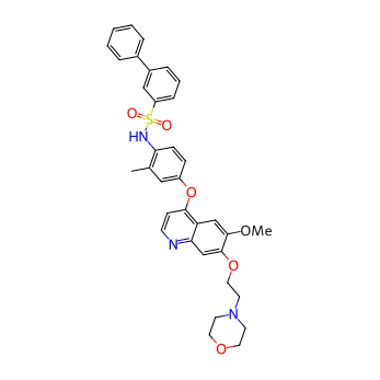 COc1cc2c(Oc3ccc(NS(=O)(=O)c4cccc(-c5ccccc5)c4)c(C)c3)ccnc2cc1OCCN1CCOCC1